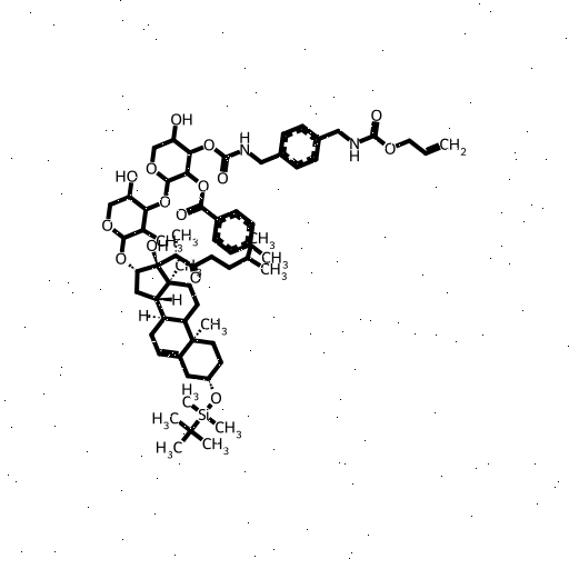 C=CCOC(=O)NCc1ccc(CNC(=O)OC2C(O)COC(OC3C(O)COC(O[C@H]4C[C@H]5[C@@H]6CC=C7C[C@@H](O[Si](C)(C)C(C)(C)C)CC[C@]7(C)C6CC[C@]5(C)[C@@]4(O)[C@H](C)C(=O)CCC(C)C)C3C)C2OC(=O)c2ccc(C)cc2)cc1